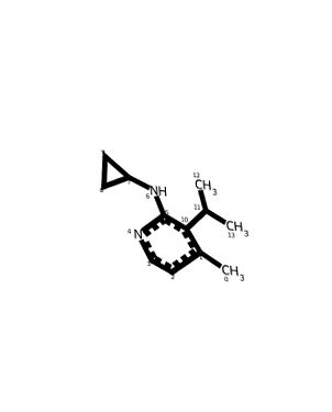 Cc1ccnc(NC2CC2)c1C(C)C